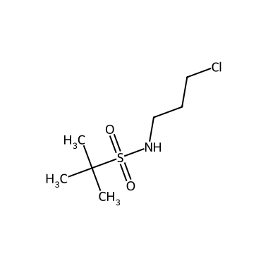 CC(C)(C)S(=O)(=O)NCCCCl